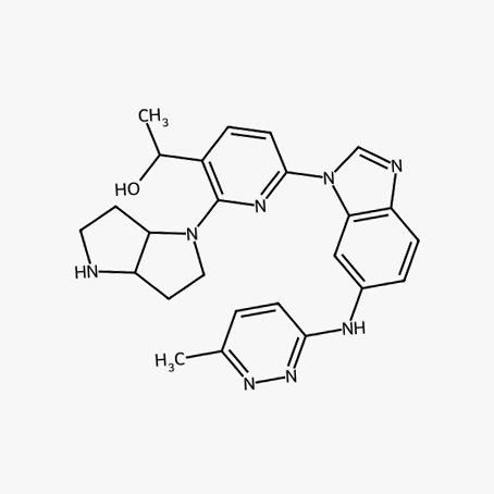 Cc1ccc(Nc2ccc3ncn(-c4ccc(C(C)O)c(N5CCC6NCCC65)n4)c3c2)nn1